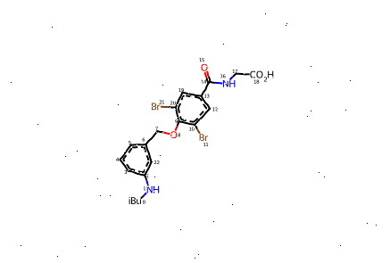 CCC(C)Nc1cccc(COc2c(Br)cc(C(=O)NCC(=O)O)cc2Br)c1